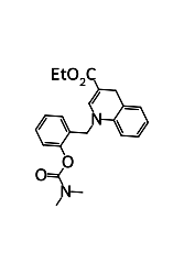 CCOC(=O)C1=CN(Cc2ccccc2OC(=O)N(C)C)c2ccccc2C1